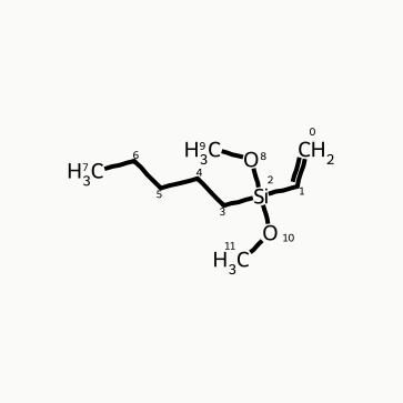 C=C[Si](CCCCC)(OC)OC